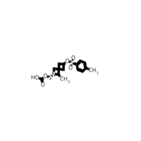 Cc1ccc(S(=O)(=O)OC2CC3(C2)CN(SOC(=O)O)C3C)cc1